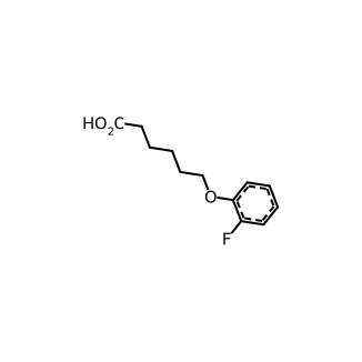 O=C(O)CCCCCOc1ccccc1F